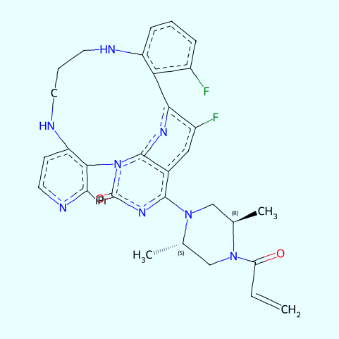 C=CC(=O)N1C[C@H](C)N(c2nc(=O)n3c4nc(c(F)cc24)-c2c(F)cccc2NCCCNc2ccnc(C(C)C)c2-3)C[C@H]1C